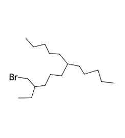 CCCCCC(CCCCC)CCCC(CC)CBr